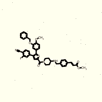 COC(=O)/C=C/c1ccc(CNC2CCN(C(=O)c3cc(-c4ccc(C#N)c(F)c4)c(-c4ccc(OC)c(OCc5ccccc5)c4)s3)CC2)cc1